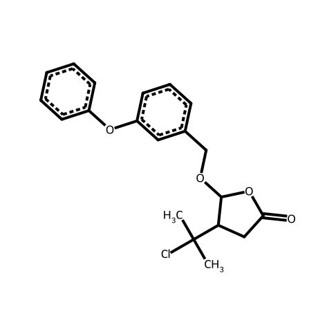 CC(C)(Cl)C1CC(=O)OC1OCc1cccc(Oc2ccccc2)c1